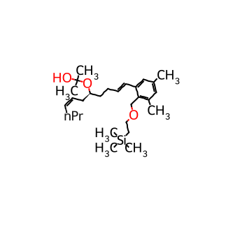 CCC/C=C\C[C@H](CC/C=C/c1cc(C)cc(C)c1COCC[Si](C)(C)C)OC(C)(C)O